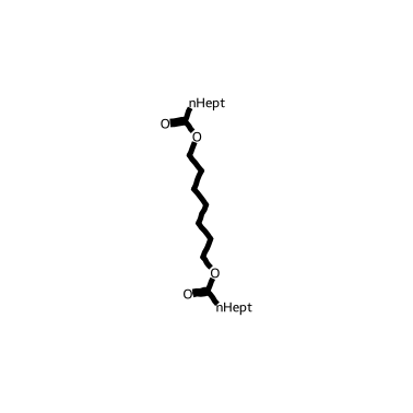 CCCCCCCC(=O)OCCCCCCCOC(=O)CCCCCCC